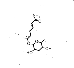 C[C@H](CC/C=C/C(N)=O)O[C@@H]1O[C@@H](C)[C@H](O)C[C@H]1O